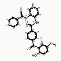 COc1ccc(O)c(C(=O)c2ccc(C(=O)Nc3ccncc3NC(=O)c3ccncc3)cc2)c1F